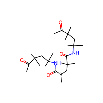 CB(CC(C)(C)C(=O)NC(C)(C)CC(C)(C)C(C)=O)C(=O)NC(C)(C)CC(C)(C)C(C)=O